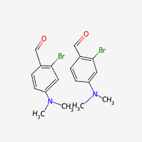 CN(C)c1ccc(C=O)c(Br)c1.CN(C)c1ccc(C=O)c(Br)c1